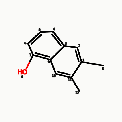 Cc1cc2cccc(O)c2cc1C